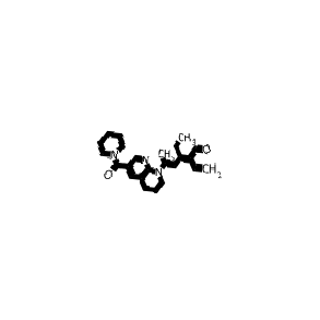 C=C/C(C=O)=C(\C=C(/C)N1CCCc2cc(C(=O)N3CCCCC3)cnc21)CC